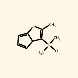 CC1=C([Si](C)(C)Cl)C2C=CC=C2S1